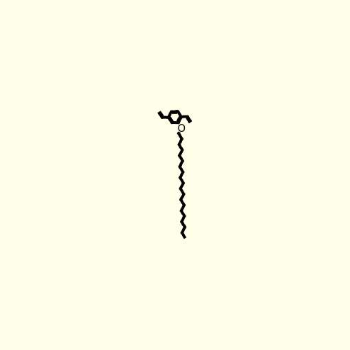 C=Cc1ccc(C=C)c(OCCCCCCCCCCCCCCCCCCCC)c1